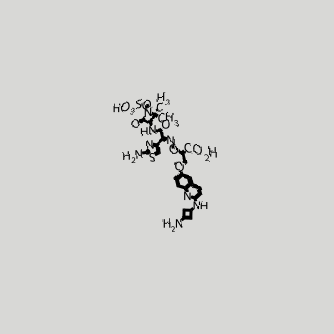 CC1(C)C(NC(=O)C(=NOC(COc2ccc3nc(NC4CC(N)C4)ccc3c2)C(=O)O)c2csc(N)n2)C(=O)N1OS(=O)(=O)O